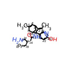 C/C=C1\C2C=C(C)CC(C2)C1(NC(=O)C[C@@H](CN)CC(C)C)c1ccc(O)nc1